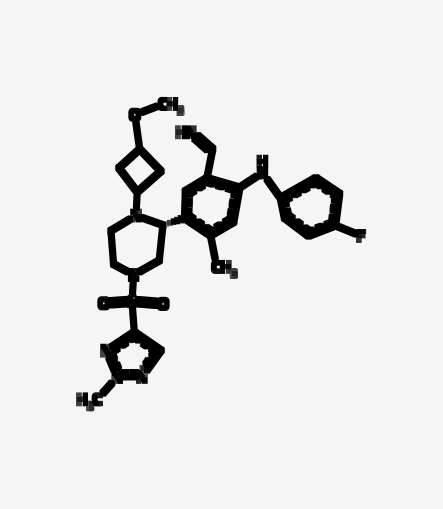 COC1CC(N2CCN(S(=O)(=O)c3cnn(C)n3)C[C@H]2c2cc(C=N)c(Nc3ccc(F)cc3)cc2C)C1